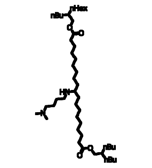 CCCCCCC(CCCC)COC(=O)CCCCCCCCC(CCCCCCCCC(=O)OCC(CCCC)CCCC)NCCCCN(C)C